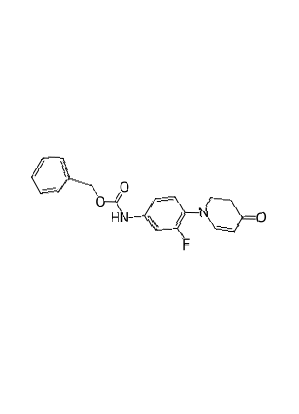 O=C1C=CN(c2ccc(NC(=O)OCc3ccccc3)cc2F)CC1